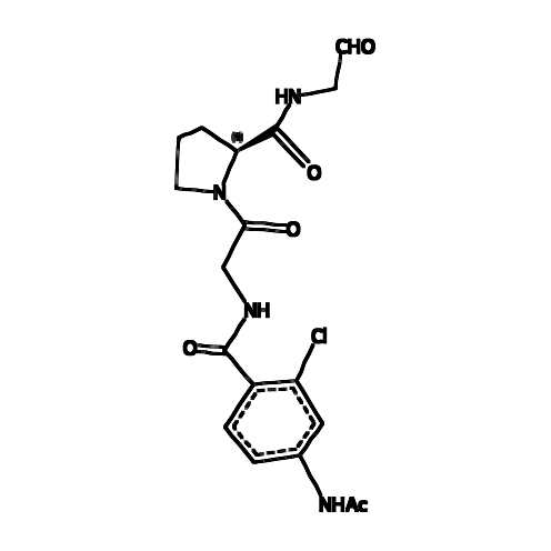 CC(=O)Nc1ccc(C(=O)NCC(=O)N2CCC[C@H]2C(=O)NCC=O)c(Cl)c1